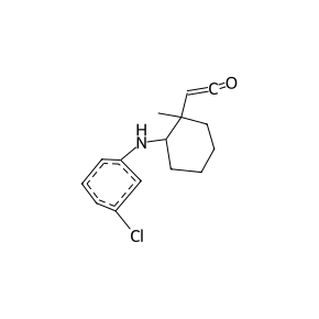 CC1(C=C=O)CCCCC1Nc1cccc(Cl)c1